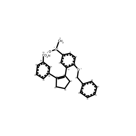 C[S+]([O-])c1ccc(OCc2ccccc2)c(C2=C(c3cccc(C(=O)O)c3)CCC2)c1